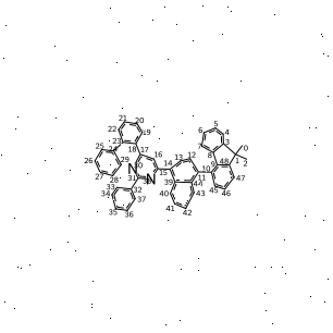 CC1(C)c2ccccc2-c2c(-c3ccc(-c4cc(-c5ccccc5-c5ccccc5)nc(-c5ccccc5)n4)c4ccccc34)cccc21